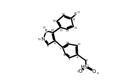 O=[SH](=O)Cc1ccc(-c2cnsc2-c2ccc(F)cc2)cc1